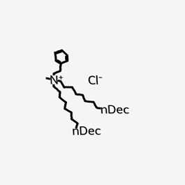 CCCCCCCCCCCCCCCCCC[N+](C)(CCCCCCCCCCCCCCCCCC)CCc1ccccc1.[Cl-]